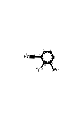 C#Cc1cccc([C](C)C)c1C(F)(F)F